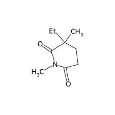 CCC1(C)CCC(=O)N(C)C1=O